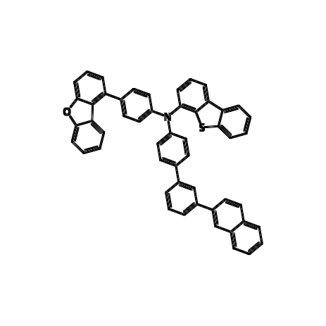 c1cc(-c2ccc(N(c3ccc(-c4cccc5oc6ccccc6c45)cc3)c3cccc4c3sc3ccccc34)cc2)cc(-c2ccc3ccccc3c2)c1